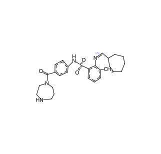 Cc1cccc(S(=O)(=O)Nc2ccc(C(=O)N3CCCNCC3)cc2)c1/N=C\C1CCCCCC1